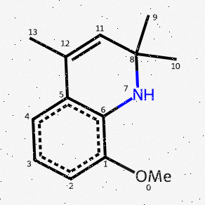 COc1cccc2c1NC(C)(C)C=C2C